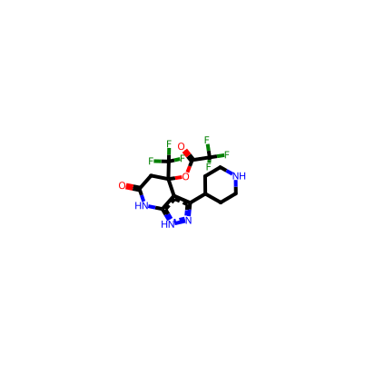 O=C1CC(OC(=O)C(F)(F)F)(C(F)(F)F)c2c(C3CCNCC3)n[nH]c2N1